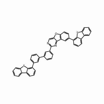 c1cc(-c2cccc(-c3cccc4c3sc3ccccc34)c2)cc(-c2ncc3oc4ccc(-c5cccc6c5sc5ccccc56)cc4c3n2)c1